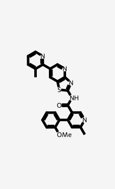 COc1ccccc1-c1cc(C)ncc1C(=O)Nc1nc2ncc(-c3ncccc3C)cc2s1